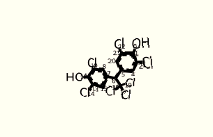 Oc1c(Cl)cc(C(c2cc(Cl)c(O)c(Cl)c2)C(Cl)(Cl)Cl)cc1Cl